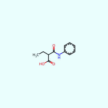 CCC(C(=O)O)C(=O)Nc1ccccc1